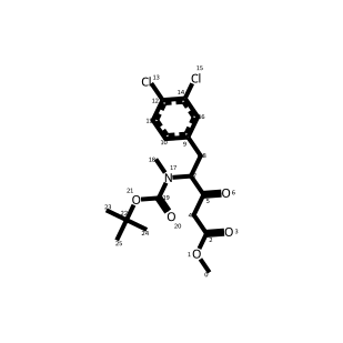 COC(=O)CC(=O)C(Cc1ccc(Cl)c(Cl)c1)N(C)C(=O)OC(C)(C)C